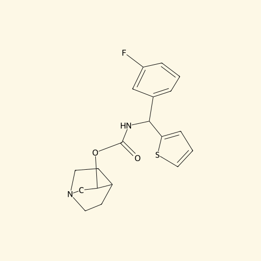 O=C(NC(c1cccc(F)c1)c1cccs1)OC1CN2CCC1CC2